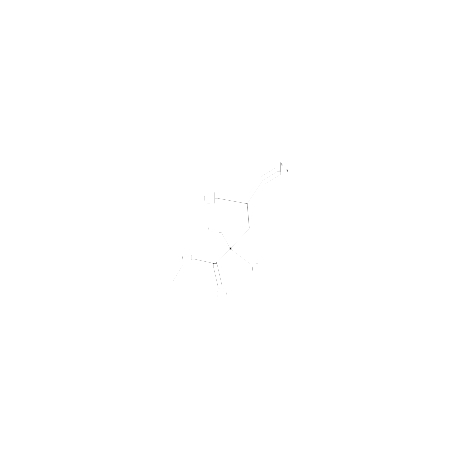 COC(=O)C(Cl)(Cl)CC(Cl)C#N